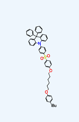 CCC(C)c1ccc(OCCCCCCOc2ccc(S(=O)(=O)c3ccc(N4c5ccccc5C(c5ccccc5)(c5ccccc5)c5ccccc54)cc3)cc2)cc1